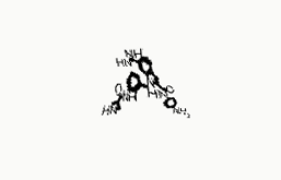 N=C(N)c1ccc2cc(C(=O)N[C@H]3CC[C@H](N)CC3)n(Cc3cccc(NC(=O)C4CNC4)c3)c2c1